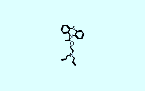 C=CCN(CC=C)CCOC(C)N1c2ccccc2Sc2ccccc21